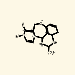 O=C(O)C1NC2CC=CC3=C2C(N1)N1C=CN(Br)C(F)=C1CO3